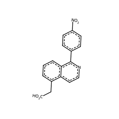 O=C(O)Cc1cccc2c(-c3ccc([N+](=O)[O-])cc3)nccc12